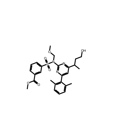 COCN(c1nc(-c2c(C)cccc2C)cc(C(C)CCO)n1)S(=O)(=O)c1cccc(C(=O)OC)c1